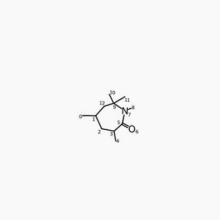 CC1CC(C)C(=O)N(C)C(C)(C)C1